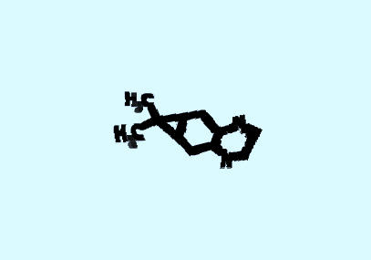 CC1(C)C2C=c3nccnc3=CC21